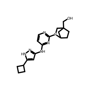 OCC12CCC(C1)N(c1nccc(Nc3cc(C4CCC4)[nH]n3)n1)C2